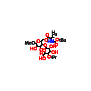 COC1OC(COC(=O)C(C)NC(=O)OC(C)(C)C)C(OC2OC(CO)C(OC(C)C)C(O)C2O)C(O)C1O